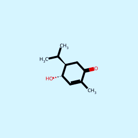 CC1=C[C@H](O)[C@@H](C(C)C)CC1=O